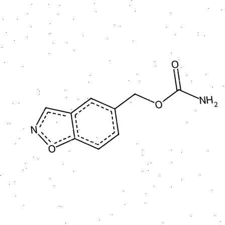 NC(=O)OCc1ccc2oncc2c1